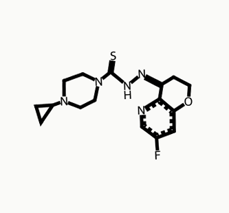 Fc1cnc2c(c1)OCC/C2=N/NC(=S)N1CCN(C2CC2)CC1